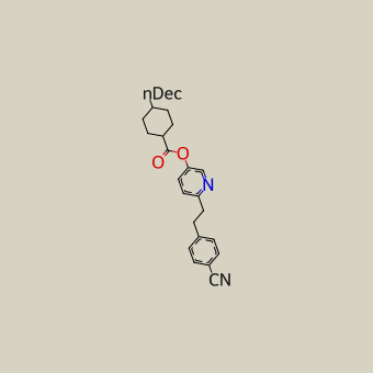 CCCCCCCCCCC1CCC(C(=O)Oc2ccc(CCc3ccc(C#N)cc3)nc2)CC1